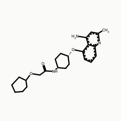 Cc1cc(N)c2c(O[C@H]3CC[C@H](NC(=O)COC4CCCCC4)CC3)cccc2n1